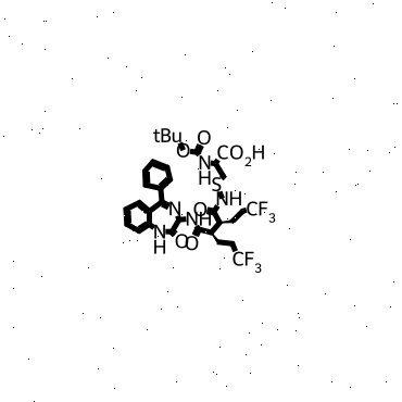 CC(C)(C)OC(=O)NC(CSNC(=O)[C@@H](CCC(F)(F)F)[C@@H](CCC(F)(F)F)C(=O)NC1N=C(c2ccccc2)c2ccccc2NC1=O)C(=O)O